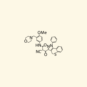 COc1ccc(NC(=O)C(C#N)C(=O)c2nn(-c3ccccc3)c3c2CSc2ccccc2-3)cc1CN1CCOCC1